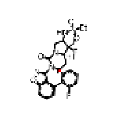 CCS(=O)(=O)N[C@@H]1CN2C(=O)N(c3noc4cccc(-c5c(F)cccc5F)c34)CC[C@@H]2C1(F)F